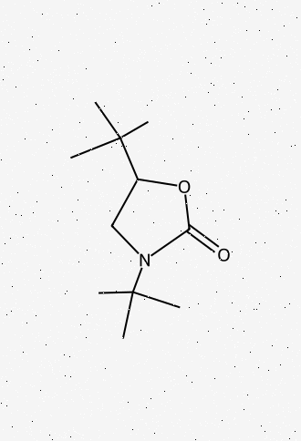 CC(C)(C)C1CN(C(C)(C)C)C(=O)O1